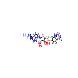 Nc1ncnc2c1ccn2[C@@H]1C[C@H](CCc2ccc3cncnc3c2)[C@@H](O)[C@H]1O